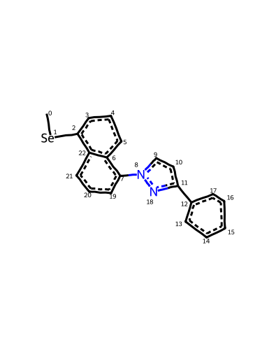 C[Se]c1cccc2c(-n3ccc(-c4ccccc4)n3)cccc12